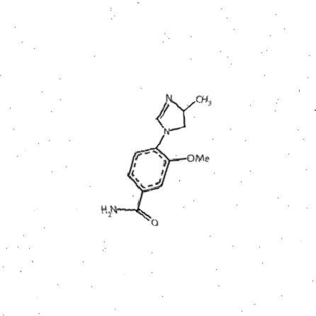 COc1cc(C(N)=O)ccc1N1C=NC(C)C1